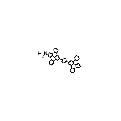 Cc1ccc(-c2c(-c3ccccc3)cc(-c3ccc(-c4cc(-c5ccccc5)c(-c5ccc(N)cc5)c(-c5ccccc5)c4)cc3)cc2-c2ccccc2)cc1